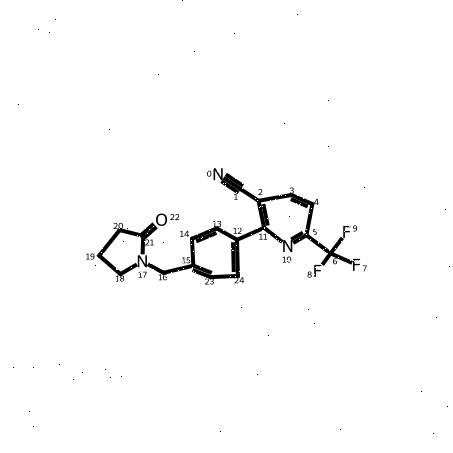 N#Cc1ccc(C(F)(F)F)nc1-c1ccc(CN2CCCC2=O)cc1